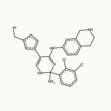 CC(C)Cn1cc(C2=CNC(N)(c3cccc(Cl)c3Cl)N=C2Nc2ccc3c(c2)CNCC3)cn1